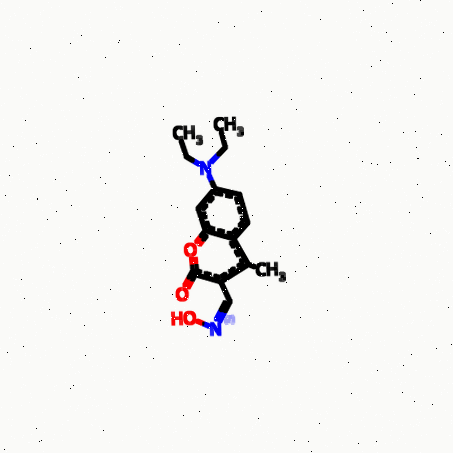 CCN(CC)c1ccc2c(C)c(/C=N\O)c(=O)oc2c1